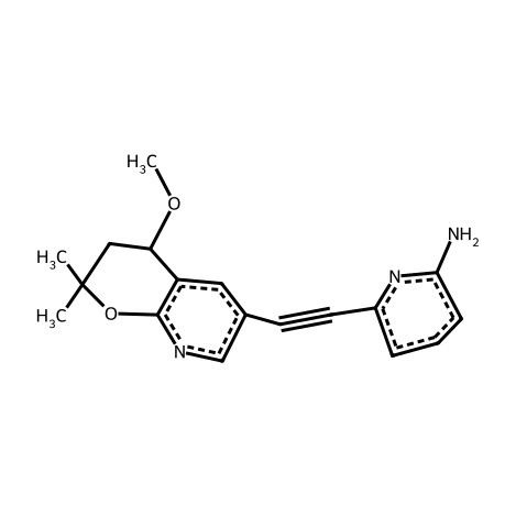 COC1CC(C)(C)Oc2ncc(C#Cc3cccc(N)n3)cc21